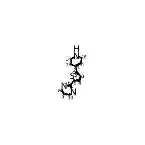 C1=C(c2ccc(-c3ncccn3)s2)CCNC1